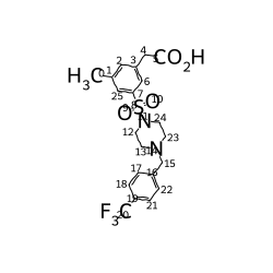 Cc1cc(CC(=O)O)cc(S(=O)(=O)N2CCN(Cc3ccc(C(F)(F)F)cc3)CC2)c1